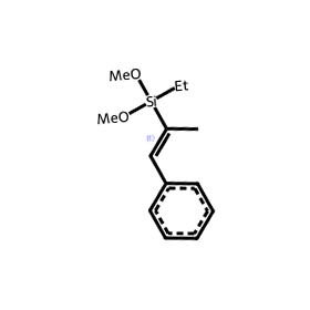 CC[Si](OC)(OC)/C(C)=C/c1ccccc1